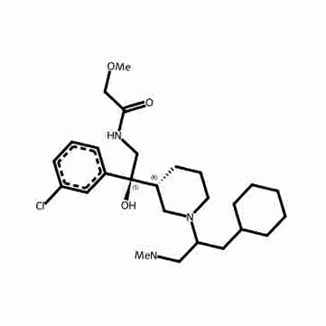 CNCC(CC1CCCCC1)N1CCC[C@@H]([C@@](O)(CNC(=O)COC)c2cccc(Cl)c2)C1